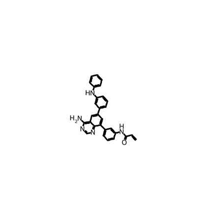 C=CC(=O)Nc1cccc(-c2cc(-c3cccc(Nc4ccccc4)c3)cc3c(N)ncnc23)c1